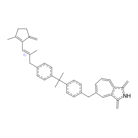 C=C1CCC(C)=C1/C=C(\C)Cc1ccc(C(C)(C)c2ccc(CC3=CC=C=c4c(=C)[nH]c(=C)c4=C3)cc2)cc1